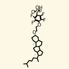 CC(C)CCCC(C)C1CCC2C3CCC4C[C@@H](OCCOc5c(F)c(F)c(S(=O)(=O)O)c(F)c5F)CC[C@]4(C)C3CC[C@]12C